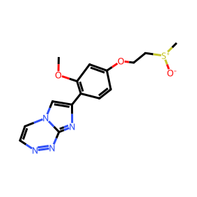 COc1cc(OCC[S+](C)[O-])ccc1-c1cn2ccnnc2n1